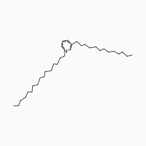 CCCCCCCCCCCCCCCC[n+]1cccc(CCCCCCCCCCCCC)c1